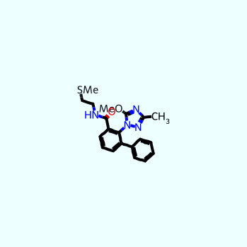 COc1nc(C)nn1-c1c(C(=O)NCCSC)cccc1-c1ccccc1